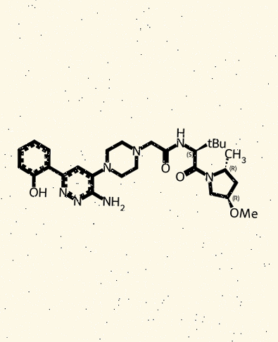 CO[C@@H]1C[C@@H](C)N(C(=O)[C@@H](NC(=O)CN2CCN(c3cc(-c4ccccc4O)nnc3N)CC2)C(C)(C)C)C1